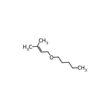 CCCCCOCC=C(C)C